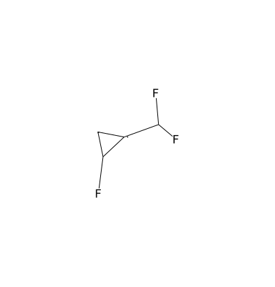 FC(F)[C]1CC1F